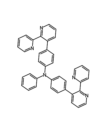 c1ccc(N(c2ccc(-c3cccnc3-c3ccccn3)cc2)c2ccc(-c3cccnc3-c3ccccn3)cc2)cc1